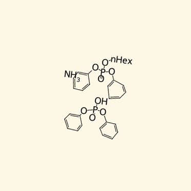 CCCCCCOP(=O)(Oc1ccccc1)Oc1ccccc1.N.O=P(O)(Oc1ccccc1)Oc1ccccc1